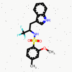 COc1cc(C)ccc1S(=O)(=O)NC(Cc1c[nH]c2ccccc12)C(F)(F)F